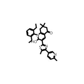 CCc1cccc(CC)c1N1C2=C(C=C(c3nc(-c4ccc(C)nc4)c(C)s3)C1O)C(=O)CC(C)(C)C2